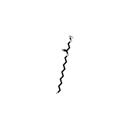 O=C(CCOP)OCCCCCCCCCCF